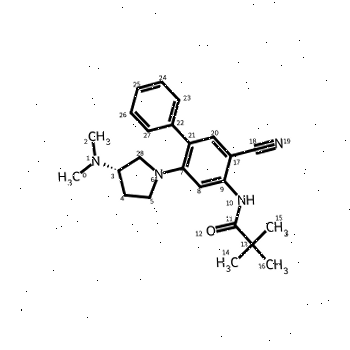 CN(C)[C@H]1CCN(c2cc(NC(=O)C(C)(C)C)c(C#N)cc2-c2ccccc2)C1